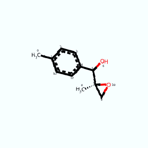 Cc1ccc(C(O)[C@]2(C)CO2)cc1